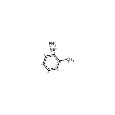 Cc1c[c]ccc1.[Na+].[PH2-]